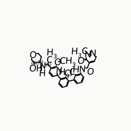 COc1nc(-c2cccc(-c3cccc(NC(=O)c4ccnn(C)c4=O)c3C)c2Cl)ccc1[C@H](C)N[C@@H]1CCOC[C@@H]1O